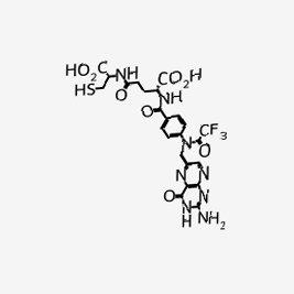 Nc1nc2ncc(CN(C(=O)C(F)(F)F)c3ccc(C(=O)N[C@@H](CCC(=O)N[C@@H](CS)C(=O)O)C(=O)O)cc3)nc2c(=O)[nH]1